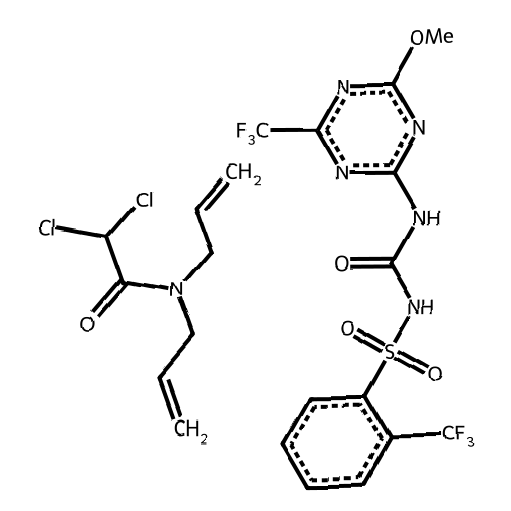 C=CCN(CC=C)C(=O)C(Cl)Cl.COc1nc(NC(=O)NS(=O)(=O)c2ccccc2C(F)(F)F)nc(C(F)(F)F)n1